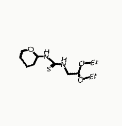 CCOC(CNC(=S)NC1CCCCO1)OCC